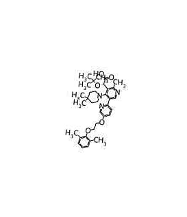 Cc1cccc(C)c1OCCOc1ccc(-c2cnc(C)c([C@H](OC(C)(C)C)C(=O)O)c2N2CCC(C)(C)CC2)nc1